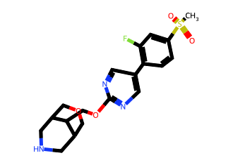 CS(=O)(=O)c1ccc(-c2cnc(OCC3C4CNCC3COC4)nc2)c(F)c1